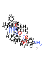 CN[C@H](C(=O)N[C@H](C(=O)N(C)[C@H](C=C(C)C(=O)NS(=O)(=O)c1ccc(N)c(C)c1C)C(C)C)C(C)(C)C)C(C)(C)c1ccccc1